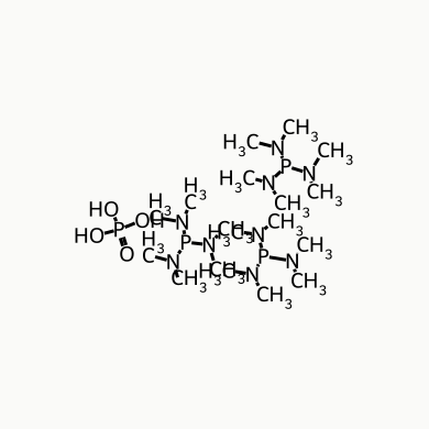 CN(C)P(N(C)C)N(C)C.CN(C)P(N(C)C)N(C)C.CN(C)P(N(C)C)N(C)C.O=P(O)(O)O